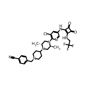 C[C@@H]1CN(c2ncc(Nc3c(NCC(F)(F)F)c(=O)c3=O)cc2Cl)[C@@H](C)CN1C1CCN(Cc2ccc(C#N)cc2)CC1